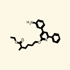 CCOC(=O)C(C)CCCCOc1cc(-c2cccc(N)c2)cc(-c2ccccc2)n1